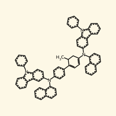 CC1CC(N(c2ccc3c(c2)c2ccccc2n3-c2ccccc2)c2cccc3ccccc23)=CC=C1c1ccc(N(c2ccc3c(c2)c2ccccc2n3-c2ccccc2)c2cccc3ccccc23)cc1